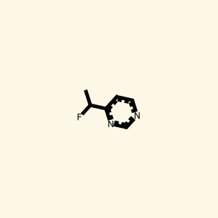 CC(F)c1[c]cncn1